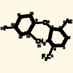 CC(=O)c1ccc(C(F)(F)F)cc1Oc1ccc(F)cc1C